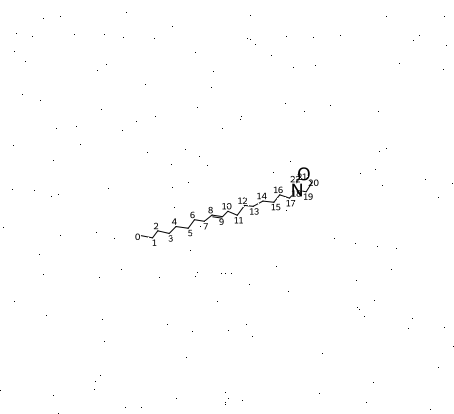 CCCCCCCCC=CCCCCCCCCN1CCOC1